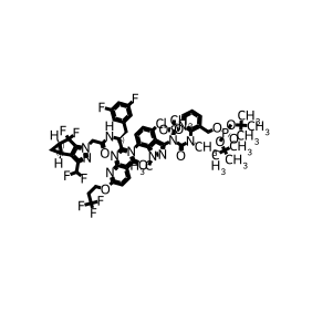 CN(C(=O)N(c1nn(C)c2c(-n3c([C@H](Cc4cc(F)cc(F)c4)NC(=O)Cn4nc(C(F)F)c5c4C(F)(F)[C@@H]4C[C@H]54)nc4nc(OCCC(F)(F)F)ccc4c3=O)ccc(Cl)c12)S(C)(=O)=O)c1ncccc1COP(=O)(OC(C)(C)C)OC(C)(C)C